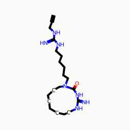 C#CCNC(=N)NCCCCCCN1CCCCCCCCNC(=N)NC1=O